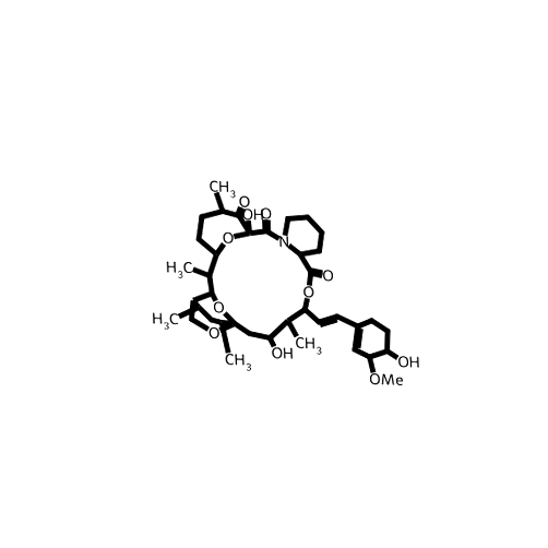 COC1C=C(/C=C/C2OC(=O)C3CCCCN3C(=O)C3(O)OC(CCC(C)C3=O)C(C)C3OC4(CC(O)C2C)OCC3C(C)CC4C)CCC1O